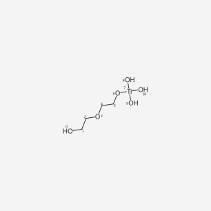 OCCOCC[O][Ti]([OH])([OH])[OH]